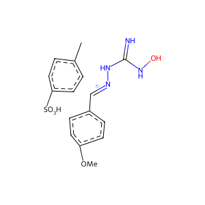 COc1ccc(/C=N/NC(=N)NO)cc1.Cc1ccc(S(=O)(=O)O)cc1